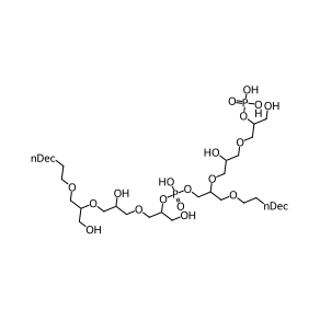 CCCCCCCCCCCCOCC(CO)OCC(O)COCC(CO)OP(=O)(O)OCC(COCCCCCCCCCCCC)OCC(O)COCC(CO)OP(=O)(O)O